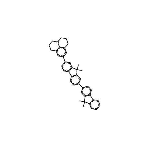 CC1(C)c2ccccc2-c2ccc(-c3ccc4c(c3)C(C)(C)c3cc(-c5cc6c7c(c5)CCCN7CCC6)ccc3-4)cc21